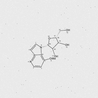 COc1ccnc2ccn([C@@H]3O[C@H](CO)C(O)C3O)c12